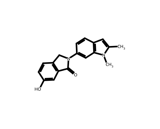 Cc1cc2ccc(N3Cc4ccc(O)cc4C3=O)cc2n1C